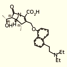 CCN(CC)CCc1cccc2c(OCC3=C(C(=O)O)N4C(=O)[C@H]([C@@H](C)O)[C@H]4[C@H]3C)cccc12